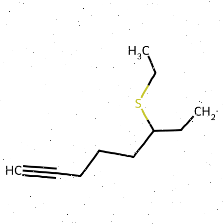 C#CCCCC(C[CH2])SCC